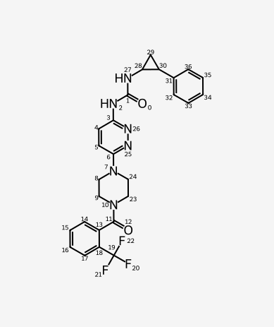 O=C(Nc1ccc(N2CCN(C(=O)c3ccccc3C(F)(F)F)CC2)nn1)NC1CC1c1ccccc1